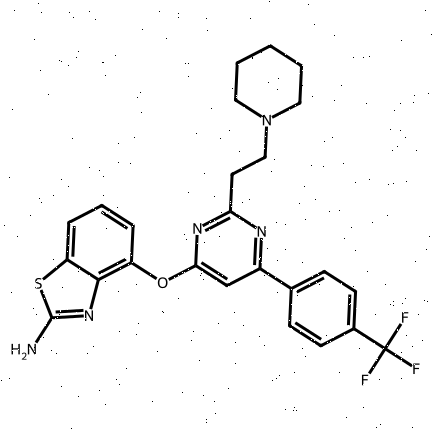 Nc1nc2c(Oc3cc(-c4ccc(C(F)(F)F)cc4)nc(CCN4CCCCC4)n3)cccc2s1